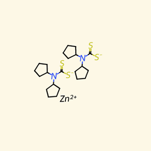 S=C([S-])N(C1CCCC1)C1CCCC1.S=C([S-])N(C1CCCC1)C1CCCC1.[Zn+2]